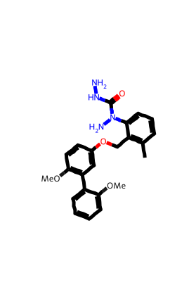 COc1ccccc1-c1cc(OCc2c(C)cccc2N(N)C(=O)NN)ccc1OC